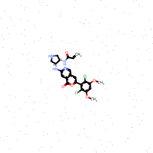 C=CC(=O)N[C@H]1CNC[C@H]1Nc1cc2c(=O)oc(-c3c(Cl)c(OC)cc(OC)c3Cl)cc2cn1